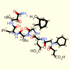 CCCC[C@H](NC(=O)[C@H](CC(C)C)NC(=O)[C@@H](NC(=O)[C@H](Cc1ccccc1C)NC(=O)[C@H](CCC(=O)O)NC(=O)CN(C(=O)CCC(=O)O)C1CCCCC1)C(C)(C)C)C(=O)C(N)=O